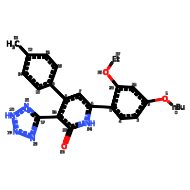 CCCCOc1ccc(-c2cc(-c3ccc(C)cc3)c(-c3nn[nH]n3)c(=O)[nH]2)c(OCC)c1